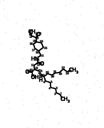 CCCCCCCC(BSC(CC(=O)NCC1CCC(C(=O)SC)CC1)C(=O)O)CCCCCCC